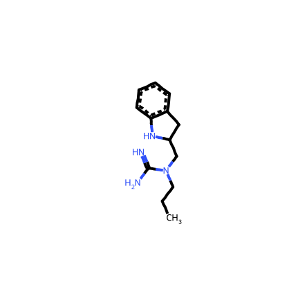 CCCN(CC1Cc2ccccc2N1)C(=N)N